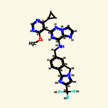 COc1ncnc(C2CC2)c1-c1nc(NCc2ccc3c(c2)Cn2cc(C(F)(F)F)nc2-3)c2nccn2n1